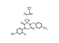 N#Cc1ccc(N2CC(=O)N(Cc3ccc(C(F)(F)F)cc3)[C@]3(C[C@@H](C(=O)NC4CC4)C3)C2=O)c(F)c1